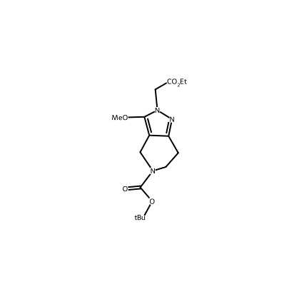 CCOC(=O)Cn1nc2c(c1OC)CN(C(=O)OC(C)(C)C)CC2